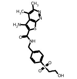 Cc1nnc2sc(C(=O)NCc3ccc(S(=O)(=O)CCO)cc3)c(N)c2c1C